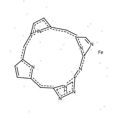 C1=Cc2cc3nnc(nc4nc(cc5ccc(cc1n2)[nH]5)C=N4)[nH]3.[Fe]